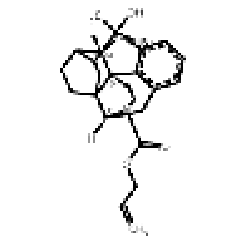 C=CCOC(=O)N1CC[C@]23c4c5cccc4O[C@H]2C2CCC3(CC2C(C)(O)C(C)(C)C)[C@H]1C5